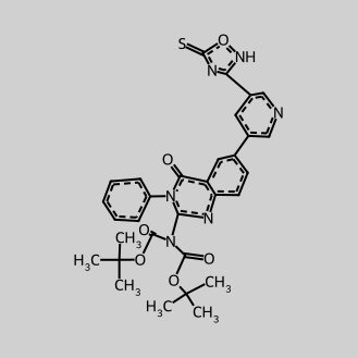 CC(C)(C)OC(=O)N(C(=O)OC(C)(C)C)c1nc2ccc(-c3cncc(-c4nc(=S)o[nH]4)c3)cc2c(=O)n1-c1ccccc1